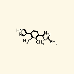 Bc1nnc(-c2ccc(-c3cn[nH]c3)c(C)c2C)s1